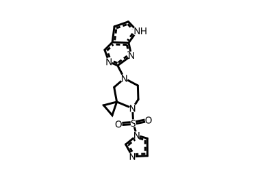 O=S(=O)(N1CCN(c2ncc3cc[nH]c3n2)CC12CC2)n1ccnc1